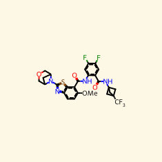 COc1ccc2nc(N3C4COCC3C4)sc2c1C(=O)Nc1cc(F)c(F)cc1C(=O)NC12CC(C(F)(F)F)(C1)C2